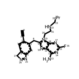 C#Cc1cc2c(cc1Cc1nc3c(N)nc(F)nc3n1CCNCC(C)C)N=NC2